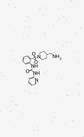 NCC1CCN(S(=O)(=O)c2ccccc2NC(=O)Nc2ccccn2)CC1